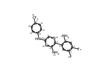 Nc1cc(F)c(F)cc1-c1ncc(Nc2ccc(C(F)(F)F)cc2)nc1N